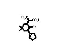 CCC1=C(N2CCCC2)CC(C)(C)CC1=C(C(=O)O)C(=O)O